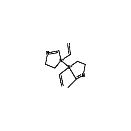 C=C[N+]1([N+]2(C=C)CCN=C2C)C=NCC1